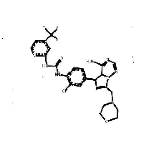 NC1=NC=NN2C(CN3CCOCC3)=CC(c3ccc(NC(=O)Nc4cc(C(F)(F)F)ccn4)c(Cl)c3)C12